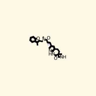 Cc1c(CN(C)C(=O)/C=C/c2cnc3c(c2)CCC2(CNC2)C(=O)N3)oc2ccccc12